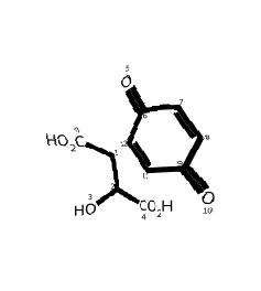 O=C(O)CC(O)C(=O)O.O=C1C=CC(=O)C=C1